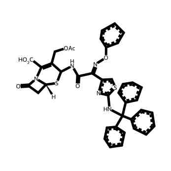 CC(=O)OCC1=C(C(=O)O)N2C(=O)C[C@H]2SC1NC(=O)C(=NOc1ccccc1)c1csc(NC(c2ccccc2)(c2ccccc2)c2ccccc2)n1